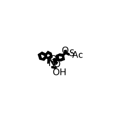 CC(=O)SCC(=O)c1ccc(S(=O)(=O)N(CCO)Cc2cccc3ccccc23)cc1